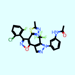 CC(=O)Nc1cccc(-n2ncc(-c3onc(-c4c(F)cccc4Cl)c3-c3nnc(C)s3)c2C(F)(F)F)c1